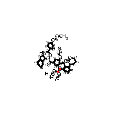 COCOc1ccc(C(=O)NC2Cc3ccccc3C2OC(=O)c2cc(OCOC)c(C(=O)c3c(OCOC)cccc3C3CCCOO3)c(OCOC)c2)cc1